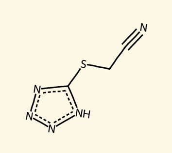 N#CCSc1nnn[nH]1